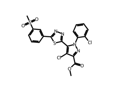 COC(=O)c1nn(-c2ccccc2Cl)c(-c2nnc(-c3cccc(S(C)(=O)=O)c3)s2)c1Cl